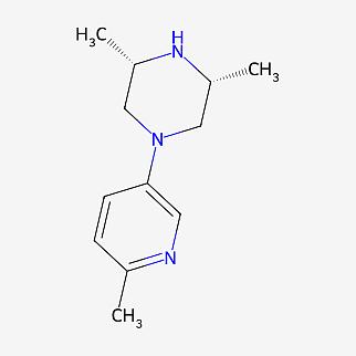 Cc1ccc(N2C[C@@H](C)N[C@@H](C)C2)cn1